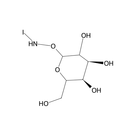 OCC1OC(ONI)C(O)[C@@H](O)[C@H]1O